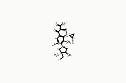 Cc1c(N2CC(C)[C@@](N)(CF)C2)c(F)cc2c(=O)c(C(=O)O)cn([C@@H]3C[C@@H]3F)c12